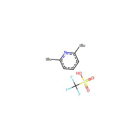 CC(C)(C)c1cccc(C(C)(C)C)n1.O=S(=O)(O)C(F)(F)F